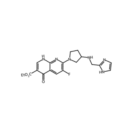 CCOC(=O)c1c[nH]c2nc(N3CCC(NCc4ncc[nH]4)C3)c(F)cc2c1=O